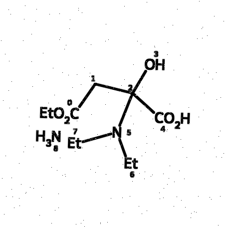 CCOC(=O)CC(O)(C(=O)O)N(CC)CC.N